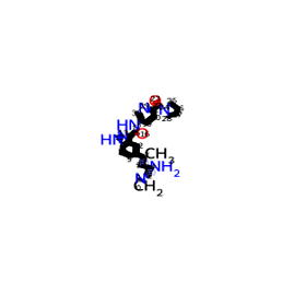 C=N/C=C(N)\C=C(/C)c1ccc2[nH]nc(C(=O)Nc3ccc(C(=O)N4CCCC4)nc3)c2c1